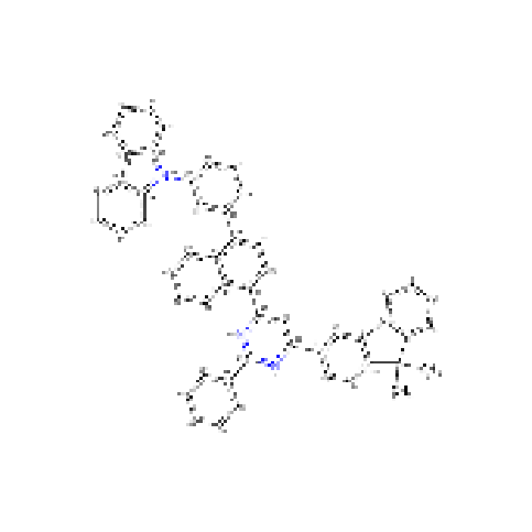 CC1(C)c2ccccc2-c2cc(-c3cc(-c4ccc(-c5cccc(-n6c7ccccc7c7ccccc76)c5)c5ccccc45)nc(-c4ccccc4)n3)ccc21